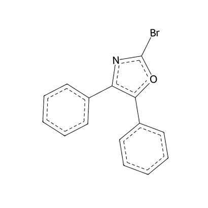 Brc1nc(-c2ccccc2)c(-c2ccccc2)o1